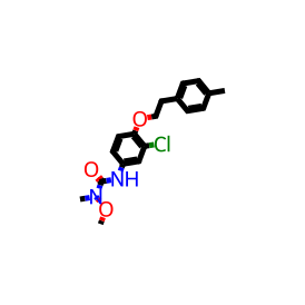 CON(C)C(=O)Nc1ccc(OCCc2ccc(C)cc2)c(Cl)c1